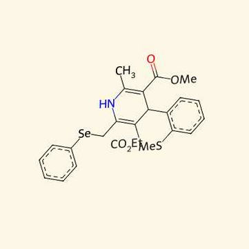 CCOC(=O)C1=C(C[Se]c2ccccc2)NC(C)=C(C(=O)OC)C1c1ccccc1SC